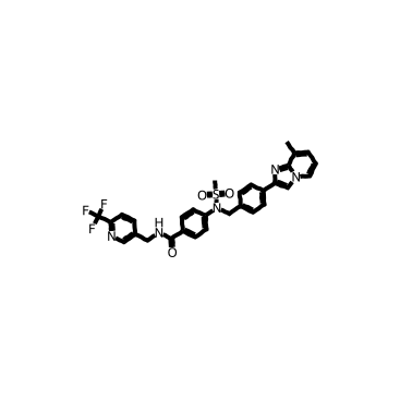 Cc1cccn2cc(-c3ccc(CN(c4ccc(C(=O)NCc5ccc(C(F)(F)F)nc5)cc4)S(C)(=O)=O)cc3)nc12